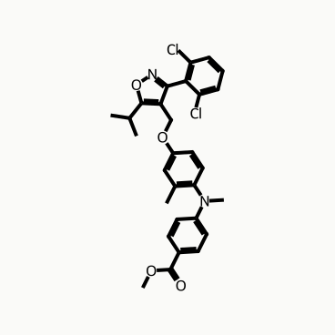 COC(=O)c1ccc(N(C)c2ccc(OCc3c(-c4c(Cl)cccc4Cl)noc3C(C)C)cc2C)cc1